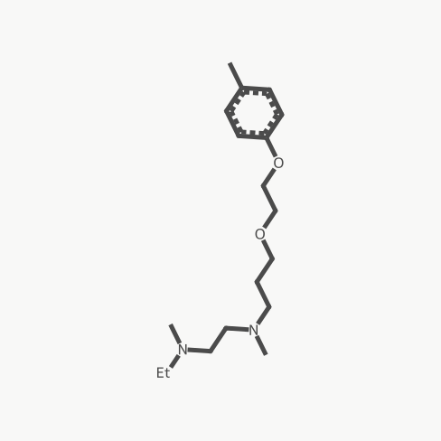 CCN(C)CCN(C)CCCOCCOc1ccc(C)cc1